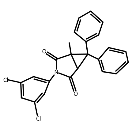 CC12C(=O)N(c3cc(Cl)cc(Cl)c3)C(=O)C1C2(c1ccccc1)c1ccccc1